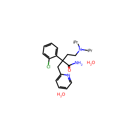 CC(C)N(CCC(Cc1ccccn1)(C(N)=O)c1ccccc1Cl)C(C)C.O.O